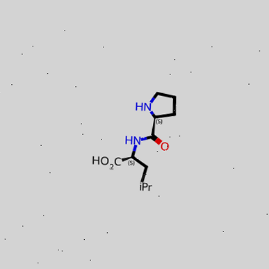 CC(C)C[C@H](NC(=O)[C@@H]1CCCN1)C(=O)O